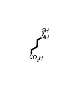 O=C(O)CCCNS